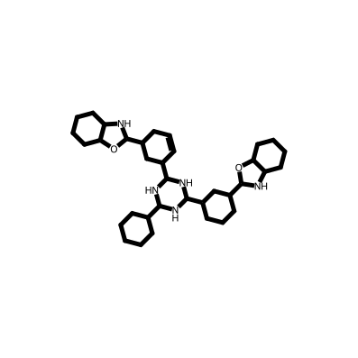 C1=CC(C2NC(C3CCCCC3)NC(C3CCCC(C4NC5CCCCC5O4)C3)N2)CC(C2NC3CCCCC3O2)C1